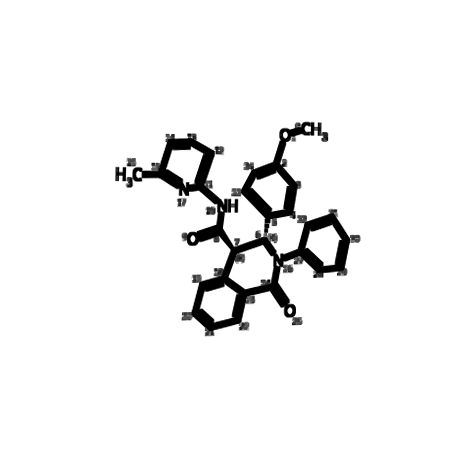 COc1ccc([C@H]2[C@H](C(=O)Nc3cccc(C)n3)c3ccccc3C(=O)N2c2ccccc2)cc1